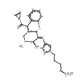 CCOC(=O)CCCCn1cc(/C=C2/CN(C(C(=O)C3CC3)c3ccccc3F)CCC2S)nn1.Cl